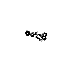 CCOc1ccc2cccnc2c1N1CCCN(C(C(C)=O)c2ccn(-c3ccccc3)n2)CC1